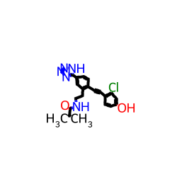 CC(C)C(=O)NCCc1cc(-c2nnn[nH]2)ccc1C#Cc1ccc(O)cc1Cl